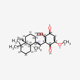 COC1=CC(=O)C(O)=C(/C=C2\[C@@H](C)CC[C@H]3C(C)(C)CCC[C@]23C)C1=O